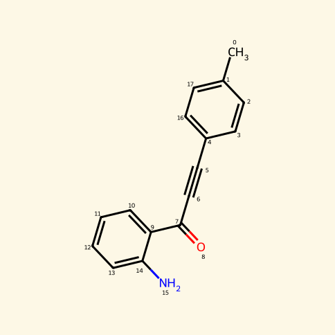 Cc1ccc(C#CC(=O)c2ccccc2N)cc1